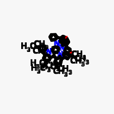 CC(C)(C)c1ccc2c(c1)c1cc(C(C)(C)C)cc3c1n2-c1cc(-n2c4ccccc4c4ccccc42)c(-n2c4ccccc4c4ccccc42)c2c1C3c1cc(C(C)(C)C)cc3c4cc(C(C)(C)C)ccc4n-2c13